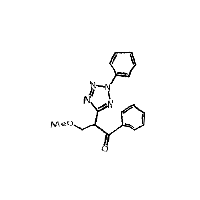 COCC(C(=O)c1ccccc1)c1nnn(-c2ccccc2)n1